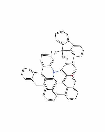 CC1(C)c2ccccc2-c2cccc(-c3cccc(N(c4ccccc4-c4cccc5ccccc45)c4ccccc4-c4cccc5cccc(-c6ccccc6)c45)c3)c21